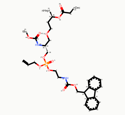 C=CCOP(=O)(OCCNC(=O)OCC1c2ccccc2-c2ccccc21)OC[C@@H](COCC[C@@H](CCCCCCC)OC(=O)CCCCCCCCCCC)NC(=O)OC(C)(C)C